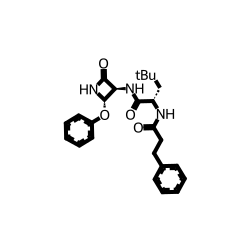 CC(C)(C)C[C@H](NC(=O)CCc1ccccc1)C(=O)N[C@@H]1C(=O)N[C@H]1Oc1ccccc1